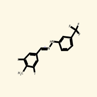 Cc1c(I)cc(/C=N/Nc2cccc(C(F)(F)F)c2)cc1I